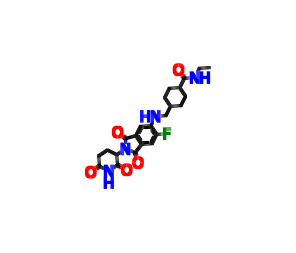 CCNC(=O)C1CCC(CNc2cc3c(cc2F)C(=O)N(C2CCC(=O)NC2=O)C3=O)CC1